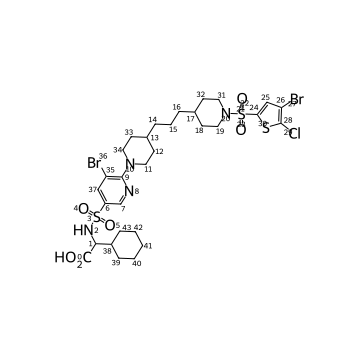 O=C(O)C(NS(=O)(=O)c1cnc(N2CCC(CCCC3CCN(S(=O)(=O)c4cc(Br)c(Cl)s4)CC3)CC2)c(Br)c1)C1CCCCC1